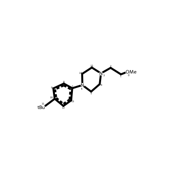 COCCN1CCN(c2ccc(C(C)(C)C)cc2)CC1